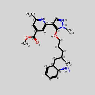 COC(=O)c1cc(C)nc(-c2cnn(C)c2OCCCC(C)CC2C=CC=CC2N)c1